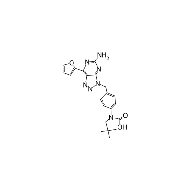 CC(C)(C)CN(C(=O)O)c1ccc(Cn2nnc3c(-c4ccco4)nc(N)nc32)cc1